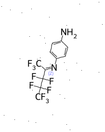 Nc1ccc(/N=C(\C(F)(F)F)C(F)(F)C(F)(F)C(F)(F)F)cc1